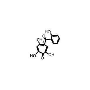 Cc1cc(O)c(=O)c(O)cc1C(=O)c1ccccc1O